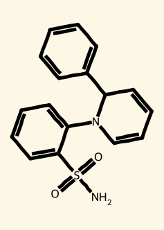 NS(=O)(=O)c1ccccc1N1C=CC=CC1c1ccccc1